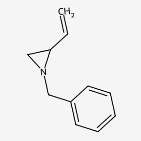 C=CC1CN1Cc1ccccc1